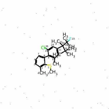 CSc1c(C)cccc1-c1c(C)cc(C(C)(C(C)(C)C)C(C)(C)F)cc1Cl